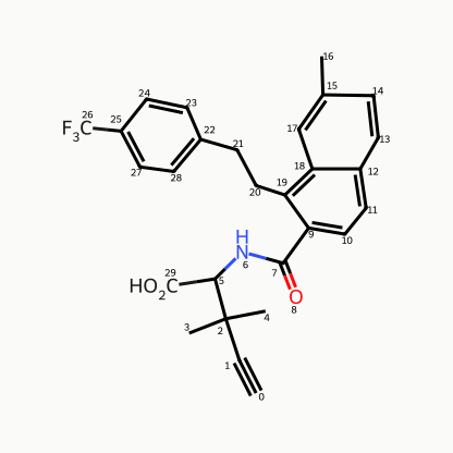 C#CC(C)(C)C(NC(=O)c1ccc2ccc(C)cc2c1CCc1ccc(C(F)(F)F)cc1)C(=O)O